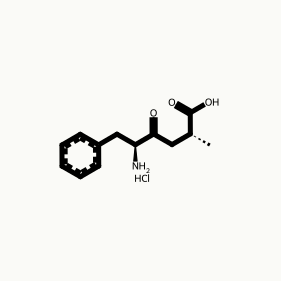 C[C@H](CC(=O)[C@@H](N)Cc1ccccc1)C(=O)O.Cl